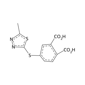 Cc1nnc(Sc2ccc(C(=O)O)c(C(=O)O)c2)s1